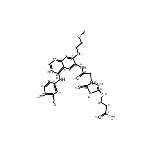 COCCOc1cc2ncnc(Nc3ccc(F)c(Cl)c3)c2cc1NC(=O)Cn1nc(SCCC(=O)O)sc1=S